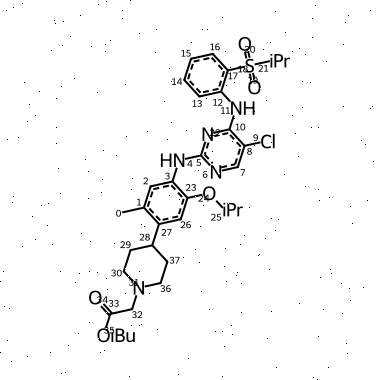 Cc1cc(Nc2ncc(Cl)c(Nc3ccccc3S(=O)(=O)C(C)C)n2)c(OC(C)C)cc1C1CCN(CC(=O)OCC(C)C)CC1